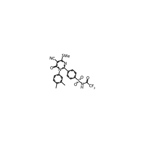 CSc1nc(-c2ccc(S(=O)(=O)NC(=O)C(F)(F)F)cc2)n(-c2ccc(C)c(C)c2)c(=O)c1C#N